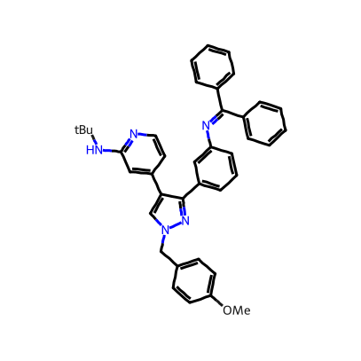 COc1ccc(Cn2cc(-c3ccnc(NC(C)(C)C)c3)c(-c3cccc(N=C(c4ccccc4)c4ccccc4)c3)n2)cc1